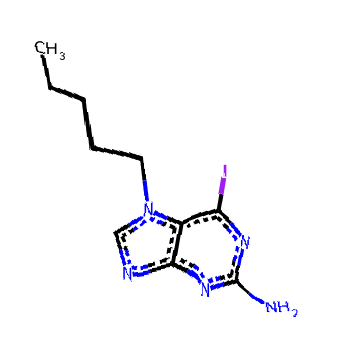 CCCCCn1cnc2nc(N)nc(I)c21